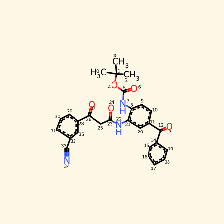 CC(C)(C)OC(=O)Nc1ccc(C(=O)c2ccccc2)cc1NC(=O)CC(=O)c1cccc(C#N)c1